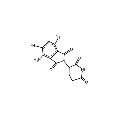 [2H]c1cc([2H])c2c(c1N)C(=O)N(C1CCC(=O)NC1=O)C2=O